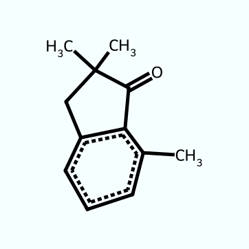 Cc1cccc2c1C(=O)C(C)(C)C2